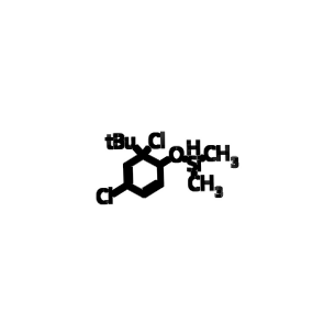 C[SiH](C)OC1C=CC(Cl)=CC1(Cl)C(C)(C)C